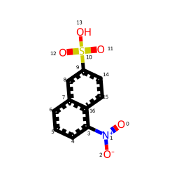 O=[N+]([O-])c1cccc2cc(S(=O)(=O)O)ccc12